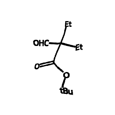 CCC(C=O)(CC)C(=O)OC(C)(C)C